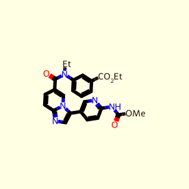 CCOC(=O)c1cccc(N(CC)C(=O)c2ccc3ncc(-c4ccc(NC(=O)OC)nc4)n3c2)c1